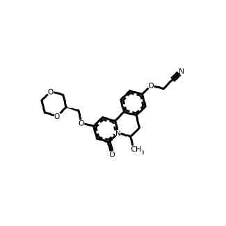 CC1Cc2cc(OCC#N)ccc2-c2cc(OC[C@@H]3COCCO3)cc(=O)n21